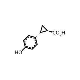 O=C(O)[C@@H]1C[C@H]1c1ccc(O)cc1